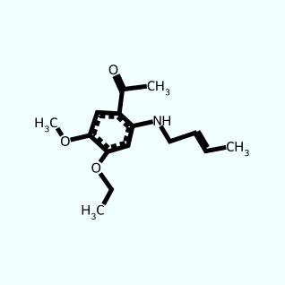 C/C=C/CNc1cc(OCC)c(OC)cc1C(C)=O